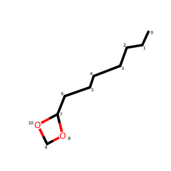 CCCCCCCC1OCO1